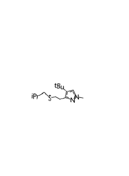 CC(C)CSCCc1nn(C)cc1C(C)(C)C